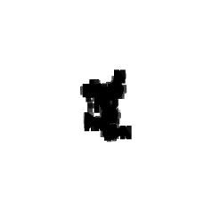 N#Cc1cccc(C(NCC2CC2)c2cccc(NC(=O)c3cc(C(F)(F)F)nn3-c3cccc(C#N)c3)c2)c1